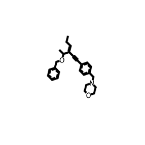 CC/C=C(/C#Cc1ccc(CN2CCOCC2)cc1)C(C)OCc1ccccc1